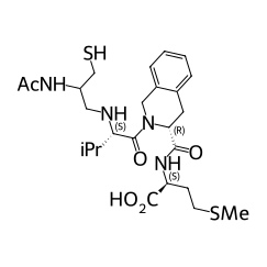 CSCC[C@H](NC(=O)[C@H]1Cc2ccccc2CN1C(=O)[C@@H](NCC(CS)NC(C)=O)C(C)C)C(=O)O